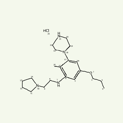 CCCOc1cc(NCCN2CCCC2)c(C)c(N2CCNCC2)c1.Cl